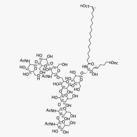 CCCCCCCC/C=C\CCCCCCCCCCCCCCCC(=O)N[C@@H](CO[C@@H]1OC(CO)[C@@H](O[C@@H]2OC(CO[C@@H]3OC(CO)[C@@H](O[C@@H]4OC(CO)[C@H](O[C@@H]5OC(CO)[C@H](O)[C@H](O)C5NC(C)=O)[C@H](O)C4O)[C@H](O)C3NC(C)=O)[C@H](O)[C@H](O[C@H]3OC(CO)[C@H](O)[C@H](O[C@@H]4OC(CO)[C@H](O)[C@H](O[C@H]5OC(CO)[C@H](O)[C@H](O)C5NC(C)=O)C4NC(C)=O)C3O)C2O)[C@H](O)C1O)[C@H](O)/C=C/CCCCCCCCCCCCC